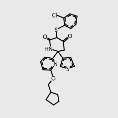 O=C1CC(c2ccsc2)(c2cccc(OCC3CCCC3)n2)NC(=O)C1Sc1ccccc1Cl